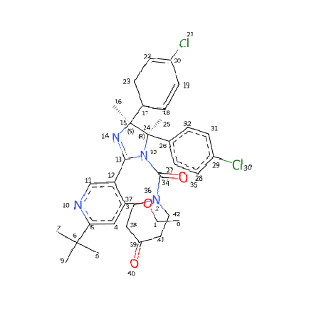 CCOc1cc(C(C)(C)C)ncc1C1=N[C@@](C)(C2C=CC(Cl)=CC2)[C@@](C)(c2ccc(Cl)cc2)N1C(=O)N1CCC(=O)CC1